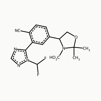 CC1(C)OCC(c2ccc(C#N)c(-c3ncnn3C(F)F)c2)N1C(=O)O